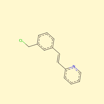 ClCc1cccc(C=Cc2ccccn2)c1